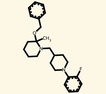 CC1(OCc2ccccc2)CCCCN1CC1CCN(c2ccccc2F)CC1